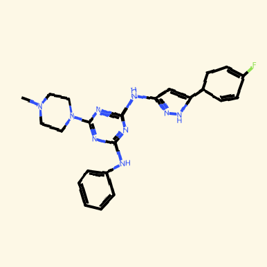 CN1CCN(c2nc(Nc3ccccc3)nc(Nc3cc(C4C=CC(F)=CC4)[nH]n3)n2)CC1